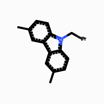 Cc1ccc2c(c1)c1cc(C)ccc1n2CC(C)C